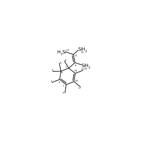 CC1=C(C)C(C)(C)C(C)(C([SiH3])=C([SiH3])[SiH3])C(C)=C1C